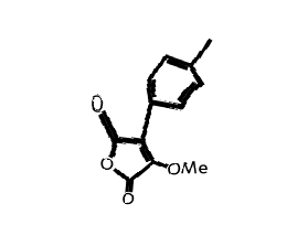 COC1=C(c2ccc(C)cc2)C(=O)OC1=O